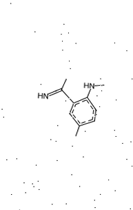 CNc1ccc(C)cc1C(C)=N